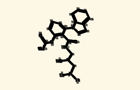 CCN(CC)CC(O)CNC(=O)c1c(OC(=O)C(C)(C)C)cccc1-n1ccc2ccccc21